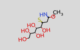 COC(=N)CC(=S)[C@@H](O)[C@@H](O)[C@H](O)[C@H](O)CO